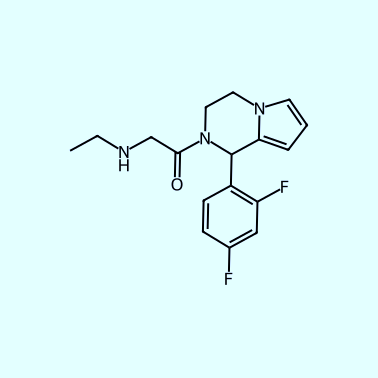 CCNCC(=O)N1CCn2cccc2C1c1ccc(F)cc1F